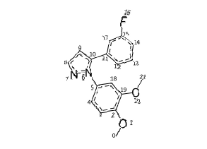 COc1ccc(-n2nccc2-c2cccc(F)c2)cc1OC